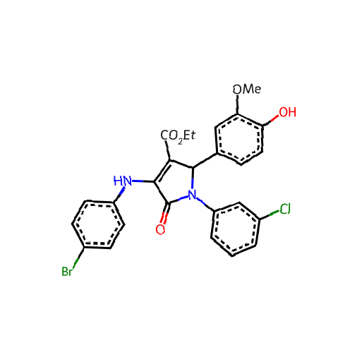 CCOC(=O)C1=C(Nc2ccc(Br)cc2)C(=O)N(c2cccc(Cl)c2)C1c1ccc(O)c(OC)c1